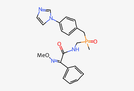 CO/N=C(\C(=O)NCP(C)(=O)Cc1ccc(-n2ccnc2)cc1)c1ccccc1